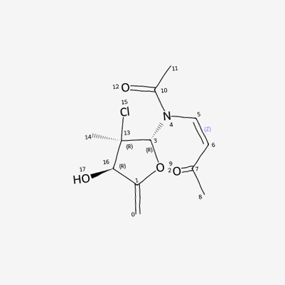 C=C1O[C@@H](N(/C=C\C(C)=O)C(C)=O)[C@](C)(Cl)[C@@H]1O